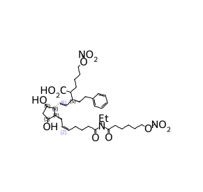 CCN(C(=O)CCC/C=C\C[C@@H]1[C@@H](/C=C/[C@H](CCc2ccccc2)C(CCCCO[N+](=O)[O-])C(=O)O)[C@H](O)C[C@@H]1O)C(=O)CCCCCO[N+](=O)[O-]